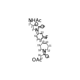 CC(=O)NCC1CN(c2ccc(C3=CCCN(C(=O)COC(C)=O)CC3)c(F)c2)C(=O)O1